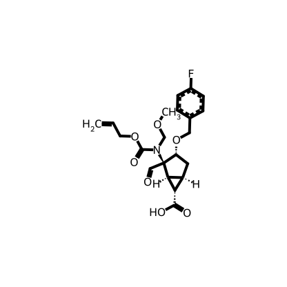 C=CCOC(=O)N(COC)[C@]1(C=O)[C@H]2[C@@H](C[C@H]1OCc1ccc(F)cc1)[C@@H]2C(=O)O